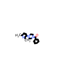 Cc1ccc(N2CCN(C(=O)c3[c]cccc3)CC2)c(C)n1